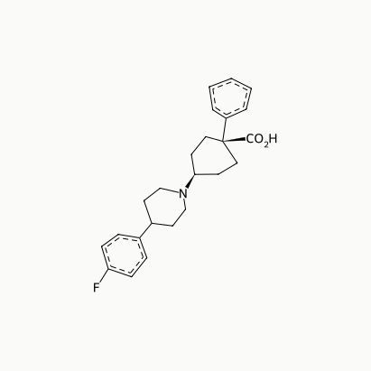 O=C(O)[C@]1(c2ccccc2)CC[C@H](N2CCC(c3ccc(F)cc3)CC2)CC1